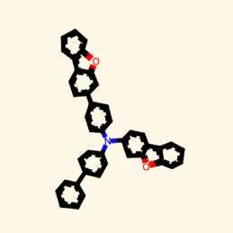 c1ccc(-c2ccc(N(c3ccc(-c4ccc5c(c4)oc4ccccc45)cc3)c3ccc4c(c3)oc3ccccc34)cc2)cc1